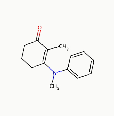 CC1=C(N(C)c2ccccc2)CCCC1=O